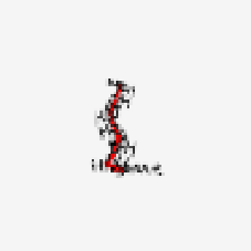 C=C(NCCCCCN(O)C(=O)CCC(=O)NCCCCCN(O)C(=O)CCC(=O)NCCCCCN(O)C(C)=O)Nc1ccc(NC(=S)NC)cc1